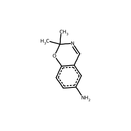 CC1(C)N=[C]c2cc(N)ccc2O1